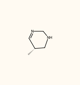 C[C@@H]1C=NCNC1